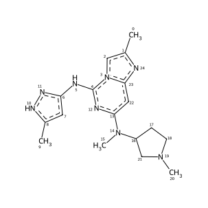 Cc1cn2c(Nc3cc(C)[nH]n3)nc(N(C)C3CCN(C)C3)cc2n1